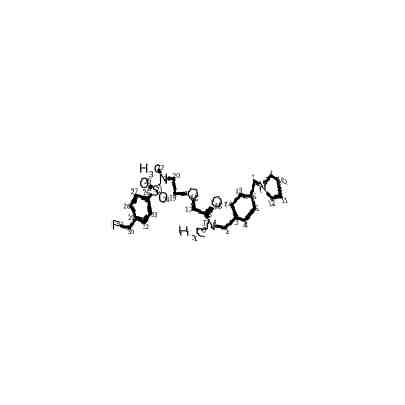 CN(CC1CCC(CN2CCCC2)CC1)C(=O)COCCN(C)S(=O)(=O)c1ccc(CF)cc1